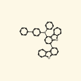 c1ccc(-c2ccc(N(c3ccccc3)c3ccc(-c4cccc5oc6ccccc6c45)c4oc5ccccc5c34)cc2)cc1